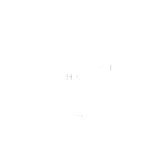 CC(C)(C=CCO)CC1CCCCC1